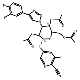 CC(=O)OCC1O[C@H](Sc2cnc(C#N)c(Cl)c2)C(OC(C)=O)C(n2cc(-c3ccc(F)c(F)c3)nn2)[C@H]1OC(C)=O